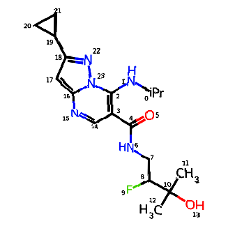 CC(C)Nc1c(C(=O)NCC(F)C(C)(C)O)cnc2cc(C3CC3)nn12